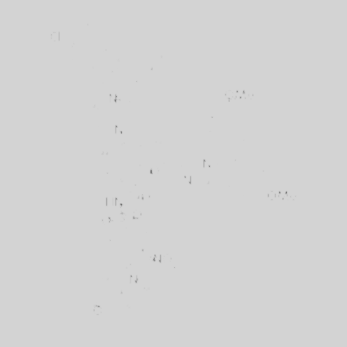 COc1ccc(C(c2ccc(OC)cc2)n2cnc3c(Oc4cc(N5CCN(CC6=C(c7ccc(Cl)cc7)CC(C)(C)CC6)CC5)ccc4C(=O)NS(=O)(=O)c4ccc(N(C)C5CCOCC5)c([N+](=O)[O-])c4)cccc32)cc1